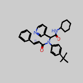 CC(C)(C)c1ccc(N(C(=O)/C=C/c2ccccc2)C(C(=O)NC2CCCCC2)c2cccnc2)cc1